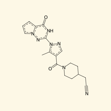 Cc1c(C(=O)N2CCC(CC#N)CC2)cnn1-c1nn2cccc2c(=O)[nH]1